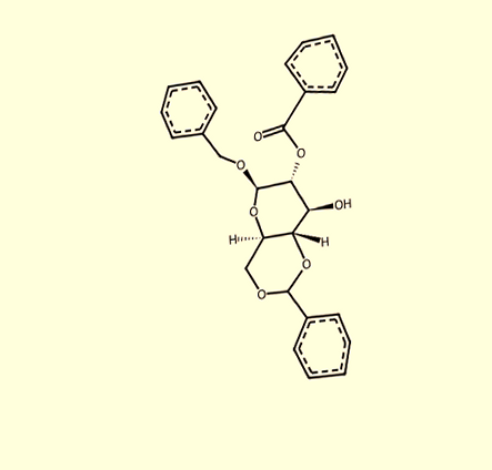 O=C(O[C@H]1[C@H](OCc2ccccc2)O[C@@H]2COC(c3ccccc3)O[C@H]2[C@@H]1O)c1ccccc1